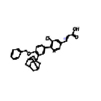 O=C(O)/C=C/c1cnc(-c2ccc(OCc3ccccc3)c(C34CC5CC(CC(C5)C3)C4)c2)c(Cl)c1